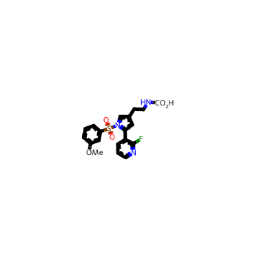 COc1cccc(S(=O)(=O)n2cc(CCNC(=O)O)cc2-c2cccnc2F)c1